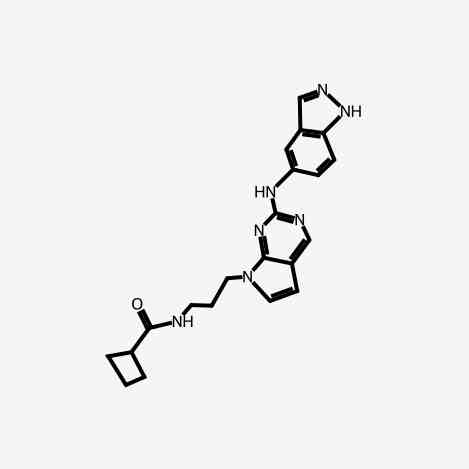 O=C(NCCCn1ccc2cnc(Nc3ccc4[nH]ncc4c3)nc21)C1CCC1